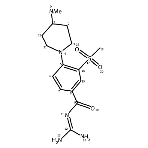 CNC1CCN(c2ccc(C(=O)N=C(N)N)cc2S(C)(=O)=O)CC1